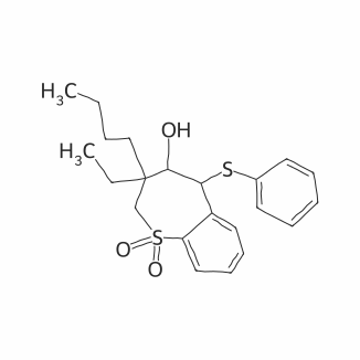 CCCCC1(CC)CS(=O)(=O)c2ccccc2C(Sc2ccccc2)C1O